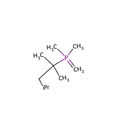 C=P(C)(C)C(C)(C)CC(C)C